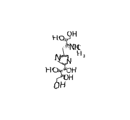 CCN[C@H](Cc1cnc([C@@H](O)[C@H](O)[C@H](O)CO)cn1)[C@H](O)CO